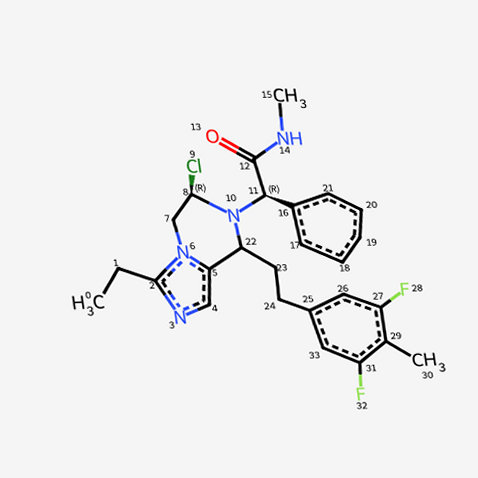 CCc1ncc2n1C[C@@H](Cl)N([C@@H](C(=O)NC)c1ccccc1)C2CCc1cc(F)c(C)c(F)c1